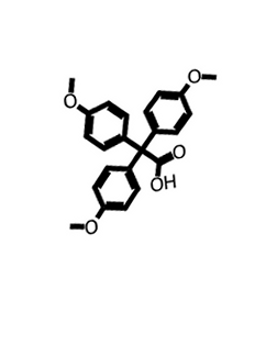 COc1ccc(C(C(=O)O)(c2ccc(OC)cc2)c2ccc(OC)cc2)cc1